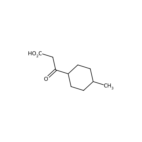 CC1CCC(C(=O)CC(=O)O)CC1